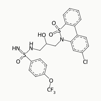 N=S(=O)(NCC(O)CN1c2cc(Cl)ccc2-c2ccccc2S1(=O)=O)c1ccc(OC(F)(F)F)cc1